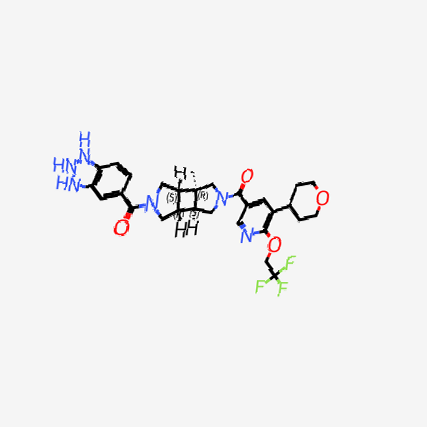 C[C@]12CN(C(=O)c3cnc(OCC(F)(F)F)c(C4CCOCC4)c3)C[C@H]1[C@@H]1CN(C(=O)c3ccc4c(c3)NNN4)C[C@@H]12